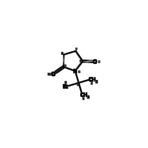 CCC(C)(C)N1C(=O)CCC1=O